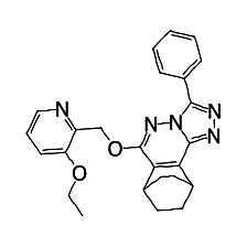 CCOc1cccnc1COc1nn2c(-c3ccccc3)nnc2c2c1C1CCC2CC1